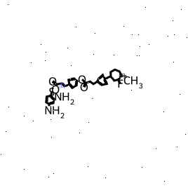 CC[C@@H]1CCCC(c2ccc(CCC(=O)Oc3ccc(/C=C/C(=O)OSc4ccc(N)cc4N)cc3)cc2)CC1F